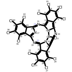 ClB1n2c3c4c(Cl)c(Cl)c(Cl)c(Cl)c4c2/N=C2N=C(/N=c4/c5c(Cl)c(Cl)c(Cl)c(Cl)c5c(n41)=N3)c1c(Cl)c(Cl)c(Cl)c(Cl)c1\2